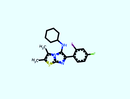 Cc1sc2nc(-c3ccc(F)cc3I)c(NC3CCCCC3)n2c1C